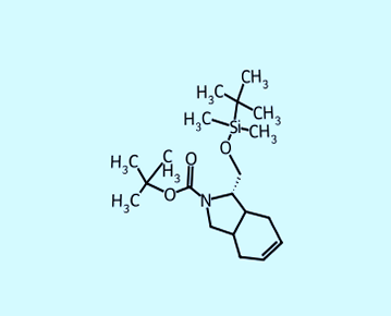 CC(C)(C)OC(=O)N1CC2CC=CCC2[C@H]1CO[Si](C)(C)C(C)(C)C